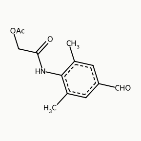 CC(=O)OCC(=O)Nc1c(C)cc(C=O)cc1C